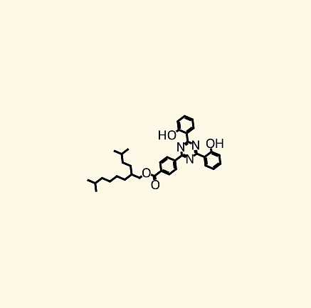 CC(C)CCCCC(CCC(C)C)COC(=O)c1ccc(-c2nc(-c3ccccc3O)nc(-c3ccccc3O)n2)cc1